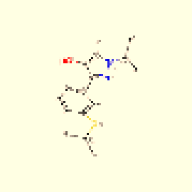 Cc1c(O)c(-c2cccc(SC(C)C)c2)nn1C(C)C